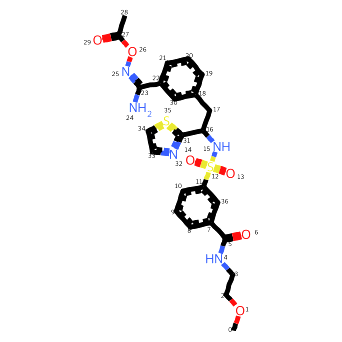 COCCNC(=O)c1cccc(S(=O)(=O)NC(Cc2cccc(/C(N)=N\OC(C)=O)c2)c2nccs2)c1